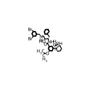 CC(C)Oc1cc(C(=O)N[C@@H](Cc2ccccc2)[C@H](O)CNCc2cc(Br)cc(Br)c2)cc(N2CCCCS2(O)O)c1